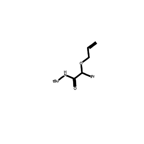 C=CCOC(C(=O)NC(C)(C)C)C(C)C